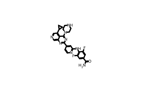 NC(=O)c1cc(F)c(Nc2cc(-c3nc(N4CCNCC4)c4c(C5CC5)cncc4n3)ccn2)c(F)c1